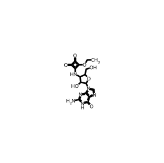 CCOc1c(NC2C(CO)OC(n3cnc4c(=O)[nH]c(N)nc43)C2O)c(=O)c1=O